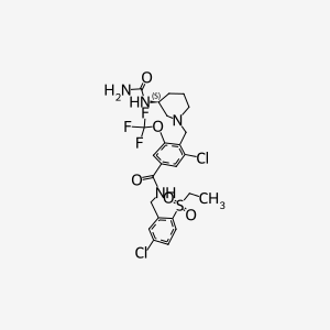 CCS(=O)(=O)c1ccc(Cl)cc1CNC(=O)c1cc(Cl)c(CN2CCC[C@H](NC(N)=O)C2)c(OC(F)(F)F)c1